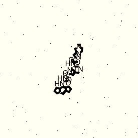 CN1CCn2nc(S(=O)(=O)NC3CN(C)Cc4cc(S(=O)(=O)NC(=O)Nc5c6c(cc7c5CCC7)CCC6)nn43)cc2C1